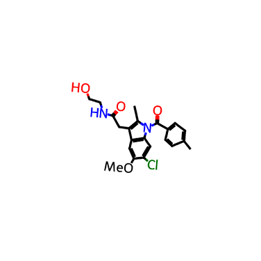 COc1cc2c(CC(=O)NCCO)c(C)n(C(=O)c3ccc(C)cc3)c2cc1Cl